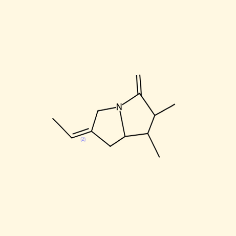 C=C1C(C)C(C)C2C/C(=C/C)CN12